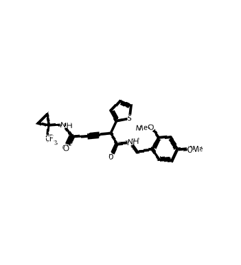 COc1ccc(CNC(=O)C(C#CC(=O)NC2(C(F)(F)F)CC2)c2cccs2)c(OC)c1